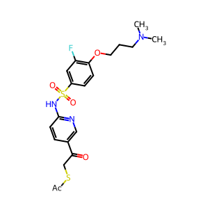 CC(=O)SCC(=O)c1ccc(NS(=O)(=O)c2ccc(OCCCN(C)C)c(F)c2)nc1